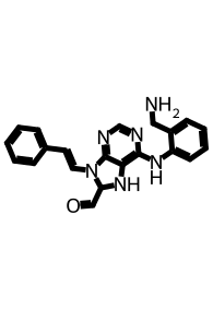 NCc1ccccc1Nc1ncnc2c1NC(C=O)N2C=Cc1ccccc1